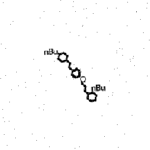 CCCCC1CCC(CCc2ccc(OCCCC3CCCCC3CCCC)cc2)CC1